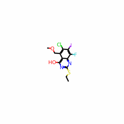 CCSc1nc(O)c2c(COC)c(Cl)c(I)c(F)c2n1